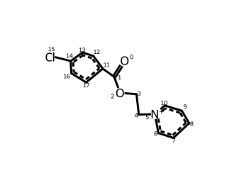 O=C(OCC[n+]1ccccc1)c1ccc(Cl)cc1